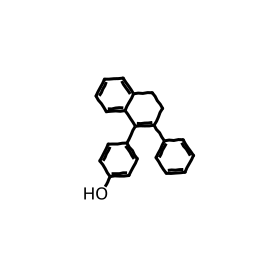 Oc1ccc(C2=C(c3ccccc3)CCc3ccccc32)cc1